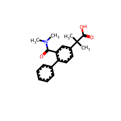 CN(C)C(=O)c1cc(C(C)(C)C(=O)O)ccc1-c1ccccc1